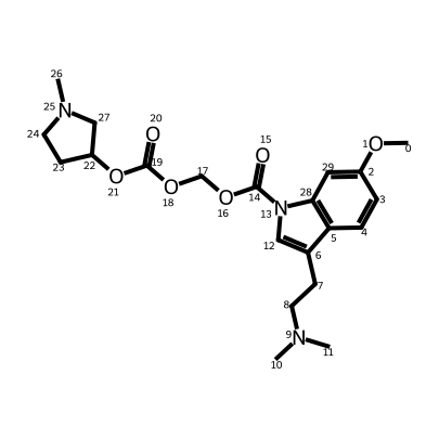 COc1ccc2c(CCN(C)C)cn(C(=O)OCOC(=O)OC3CCN(C)C3)c2c1